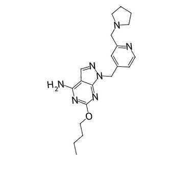 CCCCOc1nc(N)c2cnn(Cc3ccnc(CN4CCCC4)c3)c2n1